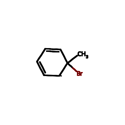 CC1(Br)[CH]C=CC=C1